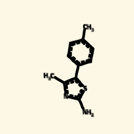 Cc1ccc(-c2sc(N)nc2C)cc1